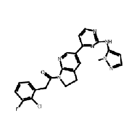 Cn1nccc1Nc1nccc(-c2cnc3c(c2)CCN3C(=O)Cc2cccc(F)c2Cl)n1